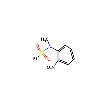 CCS(=O)(=O)N(C)c1ccccc1[N+](=O)[O-]